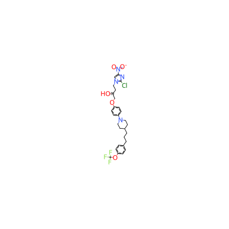 O=[N+]([O-])c1cn(CC[C@@H](O)COc2ccc(N3CCC(CCCc4ccc(OC(F)(F)F)cc4)CC3)cc2)c(Cl)n1